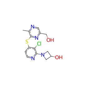 Cc1ncc(CO)nc1Sc1ccnc(N2CC(O)C2)c1Cl